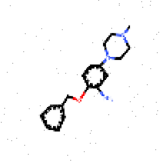 CN1CCN(c2ccc(OCc3ccccc3)c(N)c2)CC1